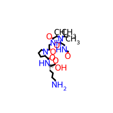 CC(C)N(C(=O)CNC=O)C(C)C(=O)NCC(=O)N1CCCC1C(=O)N[C@@H](CCCCN)C(=O)O